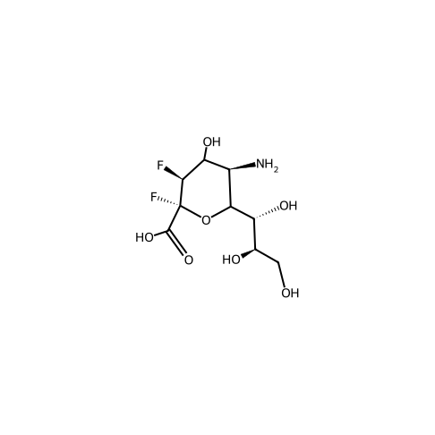 N[C@H]1C([C@H](O)[C@H](O)CO)O[C@@](F)(C(=O)O)[C@@H](F)C1O